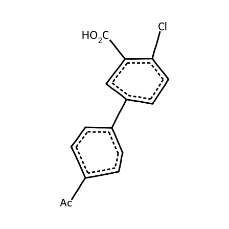 CC(=O)c1ccc(-c2ccc(Cl)c(C(=O)O)c2)cc1